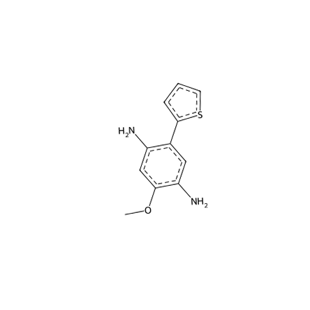 COc1cc(N)c(-c2cccs2)cc1N